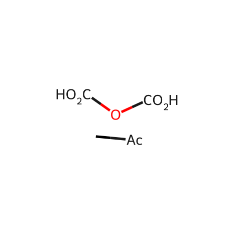 CC(C)=O.O=C(O)OC(=O)O